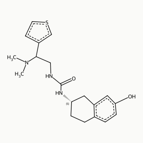 CN(C)C(CNC(=O)N[C@H]1CCc2ccc(O)cc2C1)c1ccsc1